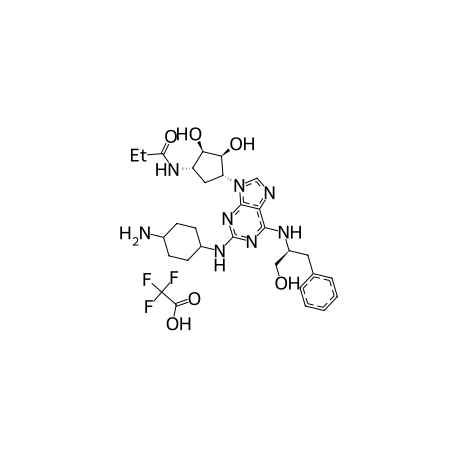 CCC(=O)N[C@H]1C[C@@H](n2cnc3c(N[C@H](CO)Cc4ccccc4)nc(NC4CCC(N)CC4)nc32)[C@H](O)[C@@H]1O.O=C(O)C(F)(F)F